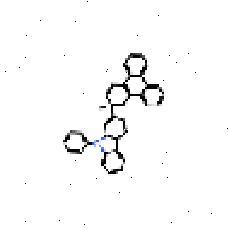 C[C@@]1(C2=CC3C(C=C2)c2ccccc2N3c2ccccc2)C=Cc2c(c3ccccc3c3ccccc23)C1